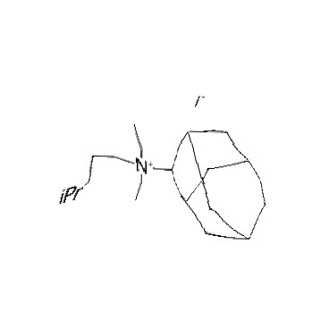 CC(C)C[N+](C)(C)C1C2CC3CC(C2)CC1C3.[I-]